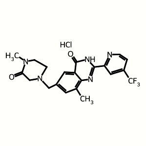 Cc1cc(CN2CCN(C)C(=O)C2)cc2c(=O)[nH]c(-c3cc(C(F)(F)F)ccn3)nc12.Cl